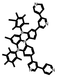 Cc1cc2c3c(c1)B(c1c(C)c(C)c(C)c(C)c1C)c1cc(-c4cncc(-c5ccncc5)c4)ccc1N3c1ccc(-c3cncc(-c4ccncc4)c3)cc1B2c1c(C)c(C)c(C)c(C)c1C